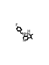 Cc1[nH]c2c(NCc3ccc(F)cc3)cncc2c1C